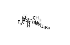 CC(CC(=O)N1CCN(c2ccc(C(C)(C)C)cc2)CC1)C1CCC(Nc2ccc(OC(F)(F)F)c(C(F)(F)F)c2)CC1